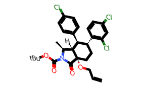 C=CCO[C@@]12CC[C@@H](c3ccc(Cl)cc3Cl)[C@H](c3ccc(Cl)cc3)[C@@H]1[C@H](C)N(C(=O)OC(C)(C)C)C2=O